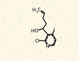 C=CCCC(O)c1c(I)ccnc1Cl